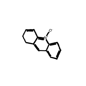 [O-][n+]1c2c(cc3ccccc31)CCC=C2